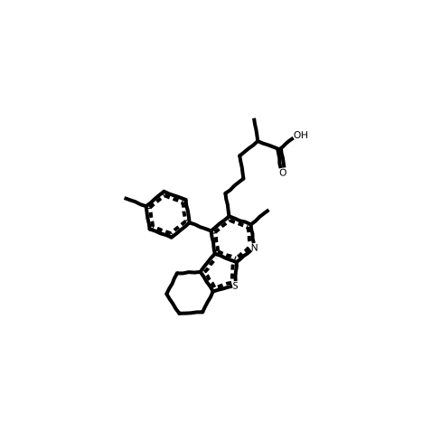 Cc1ccc(-c2c(CCCC(C)C(=O)O)c(C)nc3sc4c(c23)CCCC4)cc1